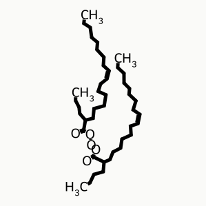 CCCCCCCC/C=C\CCCCCCC(CCCC)C(=O)OOOC(=O)C(CCCC)CCCCCC/C=C\CCCCCCCC